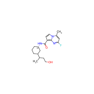 Cc1cc(F)nc2c(C(=O)N[C@H]3CCCC(C(C)CCO)C3)ccn12